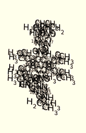 C=C(C(=O)Nc1ccnc(N(C(=O)CN2C(=O)c3cc(Oc4ccc(C(C)(C)C)cc4)c4c5c(Oc6ccc(C(C)(C)C)cc6)cc6c7c(cc(Oc8ccc(C(C)(C)C)cc8)c(c8c(Oc9ccc(C(C)(C)C)cc9)cc(c3c48)C2=O)c75)C(=O)N(CC(=O)N(c2cc(NC(=O)C(=C)C(C)C)ccn2)c2cc(NC(=O)C(=C)C(C)C)ccn2)C6=O)c2cc(NC(=O)C(=C)C(C)C)ccn2)c1)C(C)C